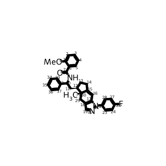 COc1ccccc1C(=O)NC(C[C@H]1CCC2=Cc3c(cnn3-c3ccc(F)cc3)C[C@@]21C)c1ccccc1